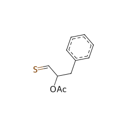 CC(=O)OC(C=S)Cc1ccccc1